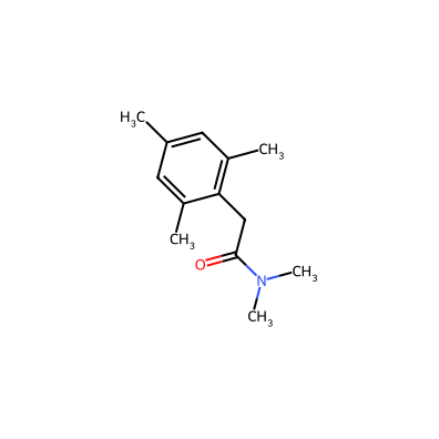 Cc1cc(C)c(CC(=O)N(C)C)c(C)c1